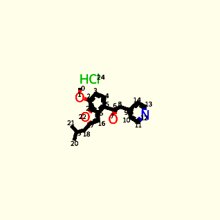 COc1ccc(C(=O)Cc2ccncc2)c2cc(CC(C)C)oc12.Cl